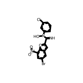 N=C(c1cc2cc(Br)cc([N+](=O)[O-])c2o1)N(O)c1cccc(Cl)c1